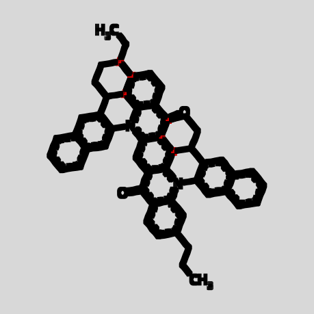 CCCc1ccc2c(=O)c3cc4c(cc3n(-c3cc5ccccc5cc3C3CCCCC3)c2c1)c(=O)c1ccc(CCC)cc1n4-c1cc2ccccc2cc1C1CCCCC1